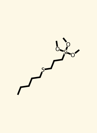 CCCCCSCCC[Si](OC)(OC)OC